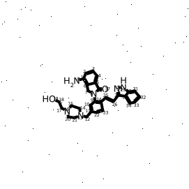 Nc1cccc2c1CN(c1cc(CN3CCN(CCO)CC3)ccc1C=Cc1n[nH]c3ccccc13)C2=O